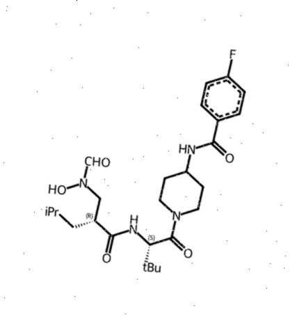 CC(C)C[C@H](CN(O)C=O)C(=O)N[C@H](C(=O)N1CCC(NC(=O)c2ccc(F)cc2)CC1)C(C)(C)C